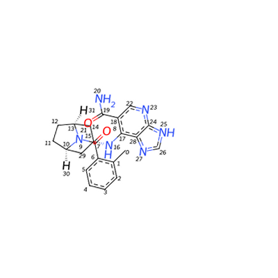 Cc1ccccc1C(=O)N1[C@@H]2CC[C@H]1C[C@H](Nc1c(C(N)=O)cnc3[nH]cnc13)C2